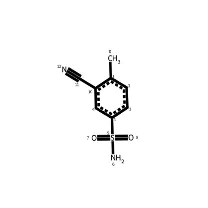 Cc1ccc(S(N)(=O)=O)cc1C#N